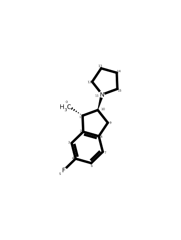 C[C@H]1c2cc(F)ccc2C[C@@H]1N1CCCC1